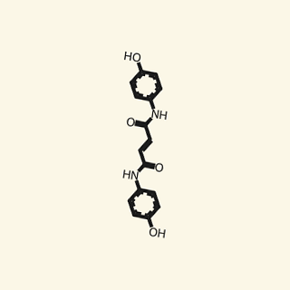 O=C(C=CC(=O)Nc1ccc(O)cc1)Nc1ccc(O)cc1